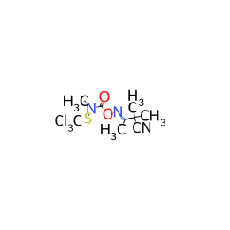 C/C(=N\OC(=O)N(C)SC(Cl)(Cl)Cl)C(C)(C)C#N